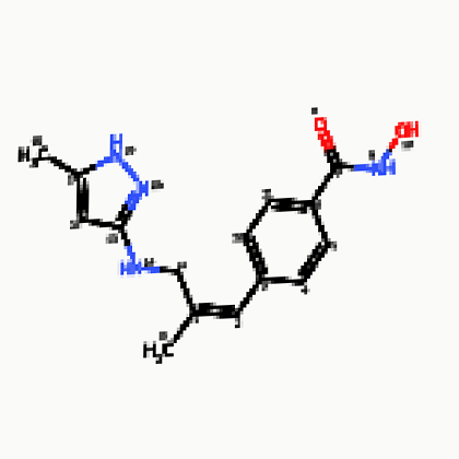 CC(=Cc1ccc(C(=O)NO)cc1)CNc1cc(C)[nH]n1